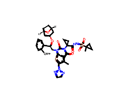 COc1ccccc1[C@H](Cn1c(=O)n(C2(C(=O)NS(=O)(=O)C3(C)CC3)CC2)c(=O)c2c(C)c(-n3nccn3)sc21)O[C@@H]1C[C@H]2CC[C@@H](C1)O2